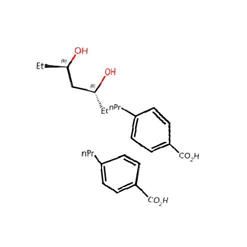 CCCc1ccc(C(=O)O)cc1.CCCc1ccc(C(=O)O)cc1.CC[C@@H](O)C[C@H](O)CC